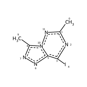 Cc1nc(I)c2nnc(C)n2n1